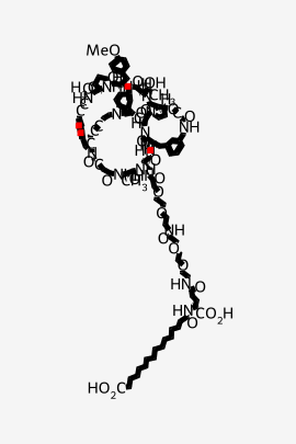 COc1ccc(C[C@@H]2NC(=O)[C@H]([C@@H](C)O)NC(=O)C3[C@@H]4CCN3C(=O)[C@@H]3Cc5cn(c6ccc(F)cc56)CCCCCCN(Cc5ccc(cc5)CCNC(=O)[C@]5(C)CCCN5C2=O)C(=O)CCC(=O)N[C@@H](C)C(=O)N[C@H](CNC(=O)COCCOCCNC(=O)COCCOCCNC(=O)CC[C@H](NC(=O)CCCCCCCCCCCCCCC(=O)O)C(=O)O)C(=O)N[C@@H](Cc2cccc(c2)CNC(=O)CO4)C(=O)N3)cc1